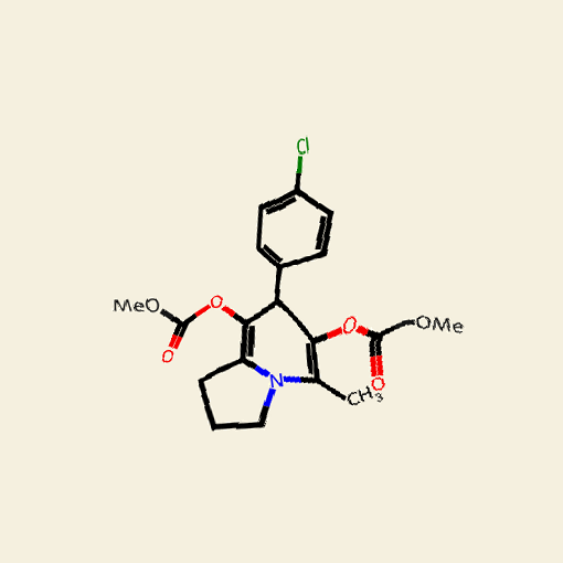 COC(=O)OC1=C(C)N2CCCC2=C(OC(=O)OC)C1c1ccc(Cl)cc1